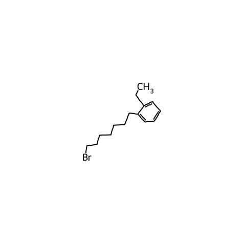 CCc1ccccc1CCCCCCCBr